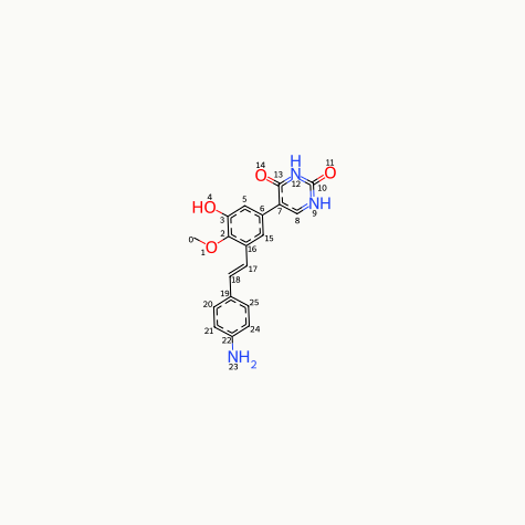 COc1c(O)cc(-c2c[nH]c(=O)[nH]c2=O)cc1/C=C/c1ccc(N)cc1